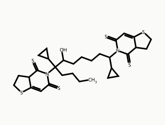 CCCCC(C(O)CCCCC(C1CC1)N1C(=S)C=C2SCCC2C1=S)(C1CC1)N1C(=S)C=C2SCCC2C1=S